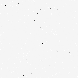 CC(C)c1c(-c2ccccn2)n(C(=O)OC(C)(C)C)c2cccnc12